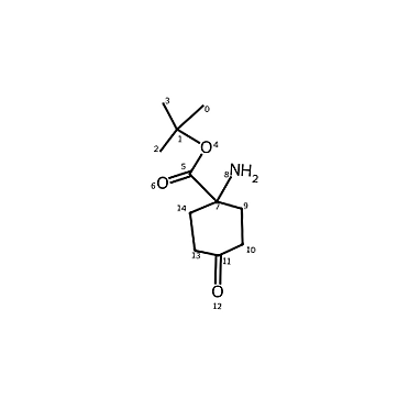 CC(C)(C)OC(=O)C1(N)CCC(=O)CC1